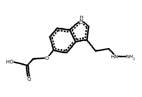 NNCCc1c[nH]c2ccc(OCC(=O)O)cc12